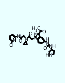 CC(=O)c1nn(CC(=O)N(CC(=O)Nc2cccc(Cl)n2)C2CC2)c2ccc(NC(=O)NC3CCNC3)cc12